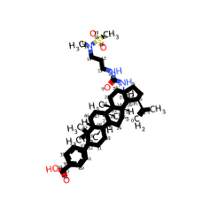 C=C(C)[C@@H]1CC[C@]2(NC(=O)NCCCN(C)S(C)(=O)=O)CC[C@]3(C)[C@H](CC[C@@H]4[C@@]5(C)CCC(c6ccc(C(=O)O)cc6)C(C)(C)[C@@H]5CC[C@]43C)[C@@H]12